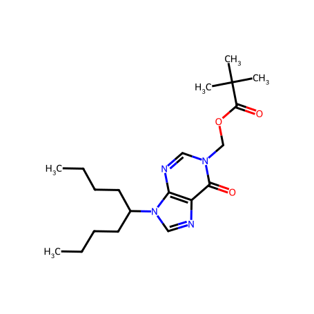 CCCCC(CCCC)n1cnc2c(=O)n(COC(=O)C(C)(C)C)cnc21